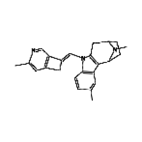 Cc1ccc2c(c1)c1c(n2/C=C2\Cc3cc(C)ncc32)CC2CCC1N2C